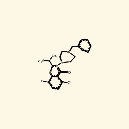 C[C@H](N)c1nc2c(F)ccc(Cl)c2c(=O)n1N1CCN(Cc2ccccc2)CC1